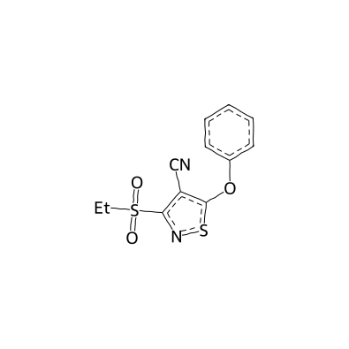 CCS(=O)(=O)c1nsc(Oc2ccccc2)c1C#N